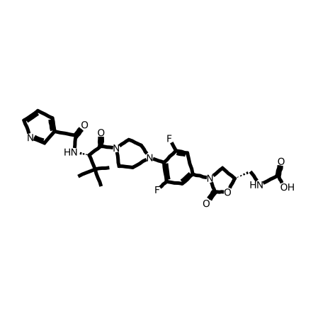 CC(C)(C)[C@H](NC(=O)c1cccnc1)C(=O)N1CCN(c2c(F)cc(N3C[C@H](CNC(=O)O)OC3=O)cc2F)CC1